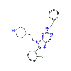 Clc1ccccc1-c1nc2cnc(NCc3ccccc3)nc2n1CCC1CCNCC1